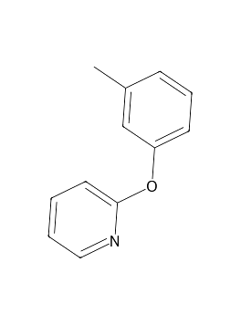 Cc1cccc(Oc2ccccn2)c1